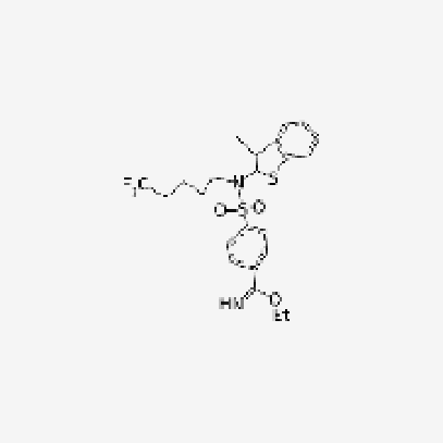 CCOC(=N)c1ccc(S(=O)(=O)N(CCCCC(F)(F)F)C2Sc3ccccc3C2C)cc1